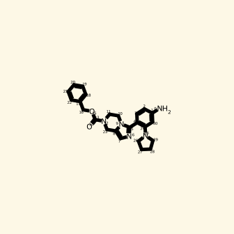 Nc1ccc(-c2ncc3n2CCN(C(=O)OCc2ccccc2)C3)c(N2CCCC2)c1